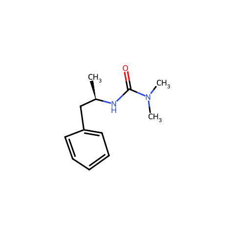 C[C@H](Cc1ccccc1)NC(=O)N(C)C